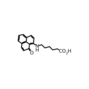 O=C(O)CCCCCNc1ccc2cccc3c2c1C(=O)C=C3